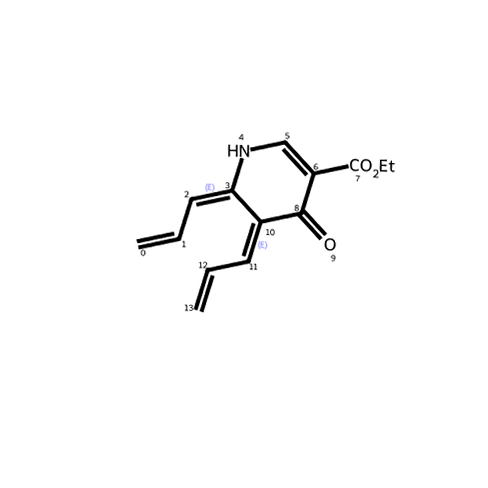 C=C/C=c1/[nH]cc(C(=O)OCC)c(=O)/c1=C/C=C